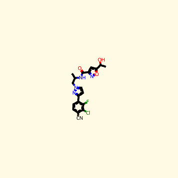 CC(Cn1ccc(-c2ccc(C#N)c(Cl)c2F)n1)NC(=O)c1cc(C(C)O)on1